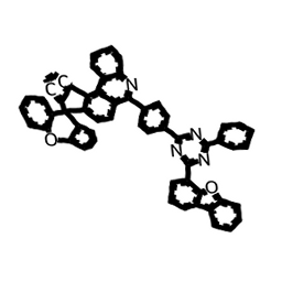 c1ccc(-c2nc(-c3ccc(-c4nc5ccccc5c5c6c(ccc45)C4(c5ccccc5Oc5ccccc54)c4ccccc4-6)cc3)nc(-c3cccc4c3oc3ccccc34)n2)cc1